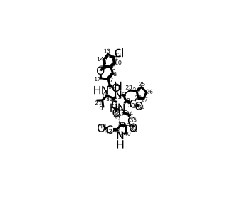 CC(C)[C@H](NC(=O)C1=Cc2cc(Cl)ccc2OC1)C(=C=O)N[C@@H](CC1CCCC1)C(=C=O)N[C@H](C=C=O)C[C@@H]1CCNC1=C=O